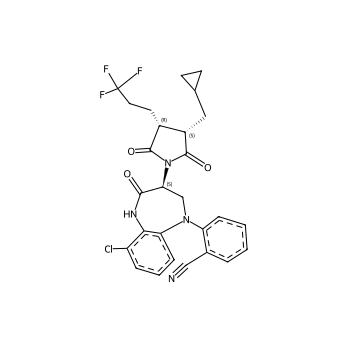 N#Cc1ccccc1N1C[C@H](N2C(=O)[C@@H](CC3CC3)[C@@H](CCC(F)(F)F)C2=O)C(=O)Nc2c(Cl)cccc21